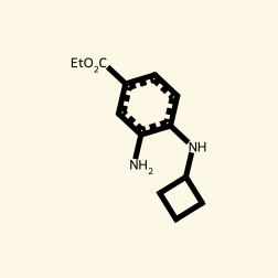 CCOC(=O)c1ccc(NC2CCC2)c(N)c1